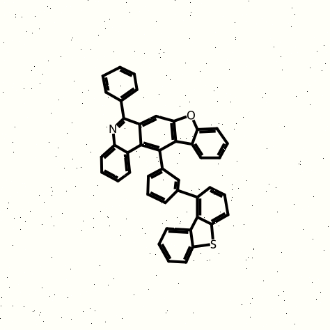 c1ccc(-c2nc3ccccc3c3c(-c4cccc(-c5cccc6sc7ccccc7c56)c4)c4c(cc23)oc2ccccc24)cc1